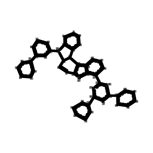 C1=CC2C(c3ccccc3N2c2cccc(-c3ccccc3)c2)c2c1oc1c(-c3nc(-c4ccccc4)nc(-c4ccccc4)n3)cccc21